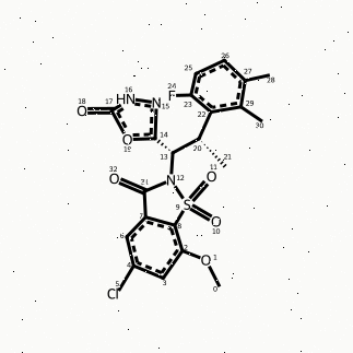 COc1cc(Cl)cc2c1S(=O)(=O)N([C@H](c1n[nH]c(=O)o1)[C@@H](C)c1c(F)ccc(C)c1C)C2=O